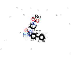 CC(C)(C)OC(=O)N1CCC(n2c(=O)[nH]c3ccc(-c4ccccc4)c(C(F)(F)F)c32)CC1